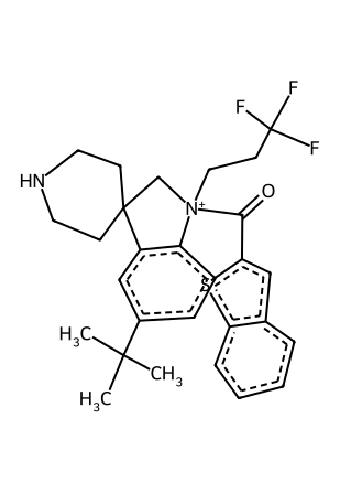 CC(C)(C)c1ccc2c(c1)C1(CCNCC1)C[N+]2(CCC(F)(F)F)C(=O)c1cc2ccccc2s1